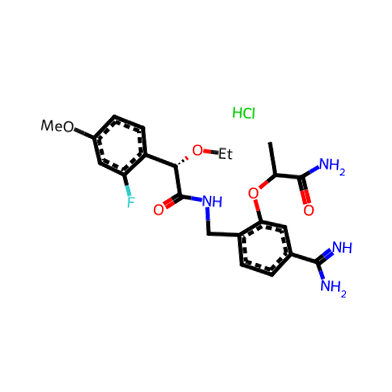 CCO[C@H](C(=O)NCc1ccc(C(=N)N)cc1OC(C)C(N)=O)c1ccc(OC)cc1F.Cl